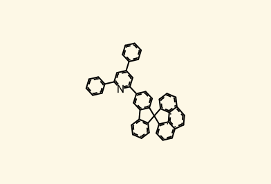 c1ccc(-c2cc(-c3ccccc3)nc(-c3ccc4c(c3)-c3ccccc3C43c4cccc5ccc6cccc3c6c45)c2)cc1